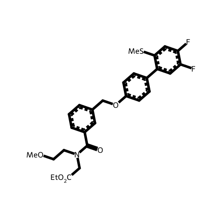 CCOC(=O)CN(CCOC)C(=O)c1cccc(COc2ccc(-c3cc(F)c(F)cc3SC)cc2)c1